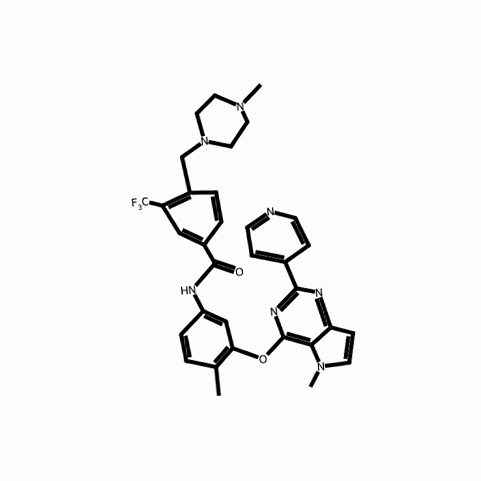 Cc1ccc(NC(=O)c2ccc(CN3CCN(C)CC3)c(C(F)(F)F)c2)cc1Oc1nc(-c2ccncc2)nc2ccn(C)c12